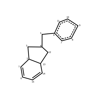 C1=CC2CC(Cc3ccccc3)CC2C=C1